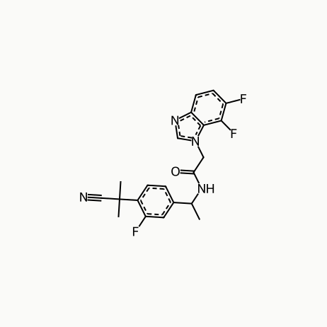 CC(NC(=O)Cn1cnc2ccc(F)c(F)c21)c1ccc(C(C)(C)C#N)c(F)c1